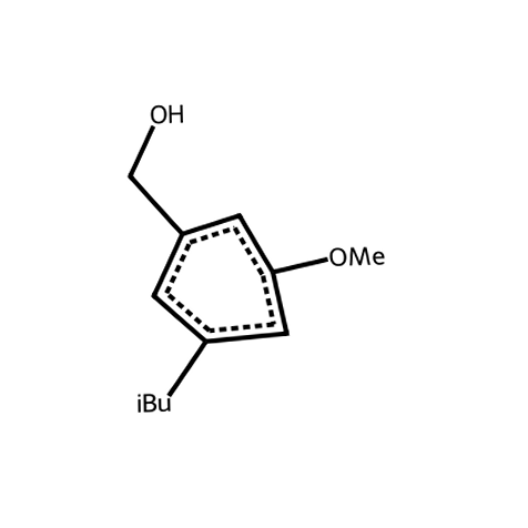 CCC(C)c1cc(CO)cc(OC)c1